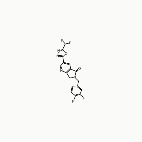 O=C1c2cc(-c3nnc(C(F)F)o3)cnc2CN1Cc1ccc(F)c(F)c1